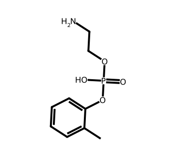 Cc1ccccc1OP(=O)(O)OCCN